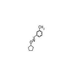 Cc1cccc(/[C]=N/OC2CCCC2)c1